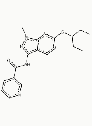 CCC(CC)Oc1ccc2c(NC(=O)c3cccnc3)nn(C)c2n1